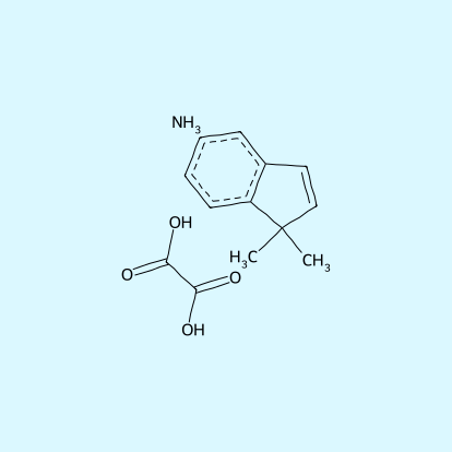 CC1(C)C=Cc2ccccc21.N.O=C(O)C(=O)O